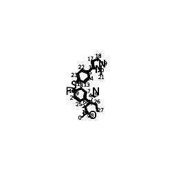 C[C@H]1C[C@@](C#N)(C2=CCC(F)(Sc3ccc(-c4ccnn4C)cc3)C=C2)CCO1